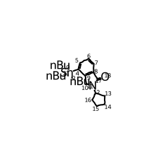 CCC[CH2][Sn]([CH2]CCC)([CH2]CCC)[c]1cccc2c1CN(C1CCCC1)C2=O